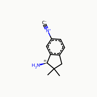 [C-]#[N+]c1ccc2c(c1)[C@H](N)C(C)(C)C2